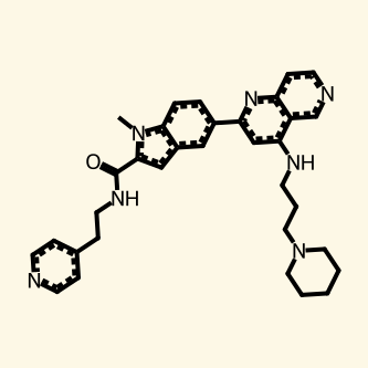 Cn1c(C(=O)NCCc2ccncc2)cc2cc(-c3cc(NCCCN4CCCCC4)c4cnccc4n3)ccc21